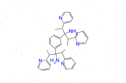 CC(c1ccccn1)C(N)(c1cccc(C(N)(C(C)c2ccccn2)C(C)c2ccccn2)c1)C(C)c1ccccn1